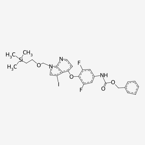 C[Si](C)(C)CCOCn1cc(I)c2c(Oc3c(F)cc(NC(=O)OCc4ccccc4)cc3F)ccnc21